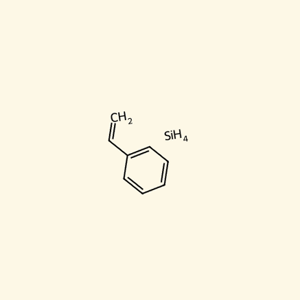 C=Cc1ccccc1.[SiH4]